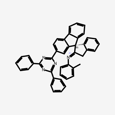 Cc1ccccc1/N=C1\Cc2ccccc2[C@]12c1ccccc1-c1ccc(-c3nc(-c4ccccc4)nc(-c4ccccc4)n3)cc12